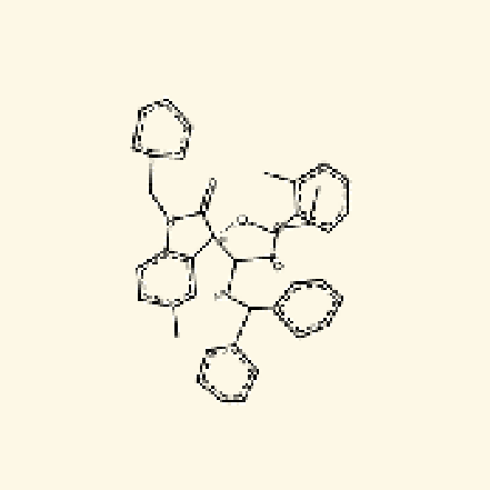 CCOC(=O)C(NC(c1ccccc1)c1ccccc1)[C@]1(OCc2ccccc2C)C(=O)N(Cc2ccccc2)c2ccc(C)cc21